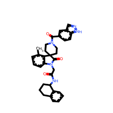 Cc1cccc2c1C1(CCN(C(=O)c3ccc4[nH]ncc4c3)CC1)C(=O)N2CC(=O)NC1CCCc2ccccc21